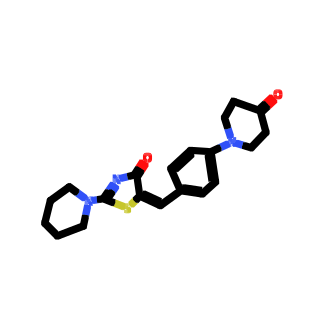 O=C1CCN(c2ccc(/C=C3/SC(N4CCCCC4)=NC3=O)cc2)CC1